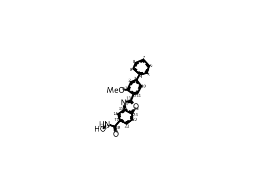 COc1cc(-c2ccccc2)ccc1-c1nc2cc(C(=O)NO)ccc2o1